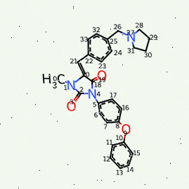 CN1C(=O)N(c2ccc(Oc3ccccc3)cc2)C(=O)C1=Cc1ccc(CN2CCCC2)cc1